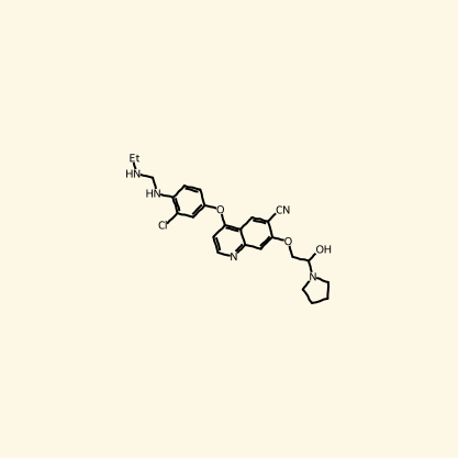 CCNCNc1ccc(Oc2ccnc3cc(OCC(O)N4CCCC4)c(C#N)cc23)cc1Cl